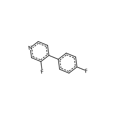 Fc1ccc(-c2ccncc2F)cc1